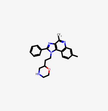 Cc1ccc2c(c1)nc(C(F)(F)F)c1nc(-c3ccccc3)n(CCC3CNCCO3)c12